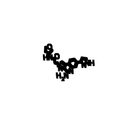 Nc1nc2cc(-c3cc[nH]n3)ccc2c2cn(CC(=O)N[C@@H]3CCOC3)nc12